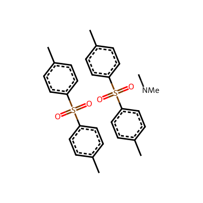 CNC.Cc1ccc(S(=O)(=O)c2ccc(C)cc2)cc1.Cc1ccc(S(=O)(=O)c2ccc(C)cc2)cc1